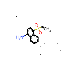 C=CS(=O)(=O)c1ccc(N)c2ccccc12